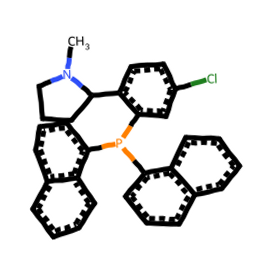 CN1CCCC1c1ccc(Cl)cc1P(c1cccc2ccccc12)c1cccc2ccccc12